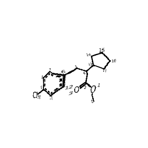 COC(=O)C(Cc1ccc(Cl)cc1)C1CCCC1